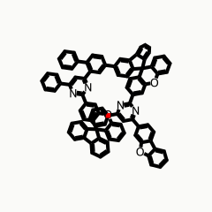 c1ccc(-c2cc(-c3ccc4c(c3)oc3ccccc34)nc(-c3ccc4c(c3)Oc3ccccc3C43c4ccccc4-c4cc(-c5ccc(-c6ccccc6)c(-c6cc(-c7ccccc7)nc(-c7ccc8c(c7)Oc7ccccc7C87c8ccccc8-c8ccccc87)n6)c5)ccc43)n2)cc1